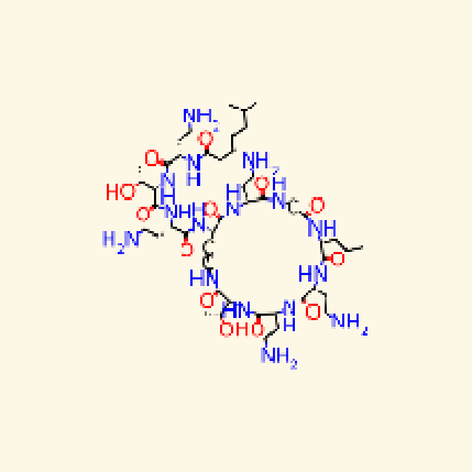 CCC[C@@H]1NC(=O)CNC(=O)[C@H](CCN)NC(=O)[C@@H](NC(=O)[C@H](CCN)NC(=O)[C@@H](NC(=O)[C@H](CCN)NC(=O)CCCCC(C)C)[C@@H](C)O)CCNC(=O)[C@H]([C@@H](C)O)NC(=O)[C@H](CCN)NC(=O)[C@H](CCN)NC1=O